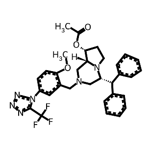 COc1ccc(-n2nnnc2C(F)(F)F)cc1CN1C[C@@H]2[C@H](OC(C)=O)CCN2[C@H](C(c2ccccc2)c2ccccc2)C1